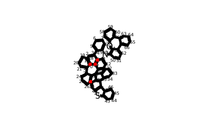 c1ccc(-c2ccccc2N(c2ccc3c(c2)-c2ccccc2-c2ccccc2C32c3ccccc3-c3c2ccc2sc4ccccc4c32)c2cccc3c2Oc2ccccc2-c2ccccc2-3)cc1